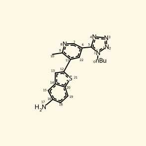 CCCCn1nnnc1-c1cnc(C)c(-c2cc3cc(N)ccc3s2)c1